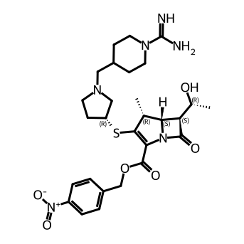 C[C@@H](O)[C@H]1C(=O)N2C(C(=O)OCc3ccc([N+](=O)[O-])cc3)=C(S[C@@H]3CCN(CC4CCN(C(=N)N)CC4)C3)[C@H](C)[C@H]12